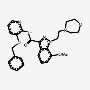 COc1cccc2c(C(=O)Nc3ncccc3OCc3ccccc3)nn(CCN3CCOCC3)c12